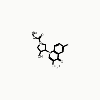 CC(C)(C)OC(=O)N1CC(O)C(n2cc(C(=O)O)c(=O)c3cc(I)ccc32)C1